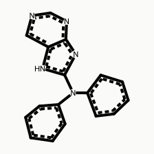 c1ccc(N(c2ccccc2)c2nc3ncncc3[nH]2)cc1